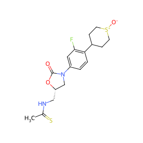 CC(=S)NC[C@H]1CN(c2ccc(C3CC[S+]([O-])CC3)c(F)c2)C(=O)O1